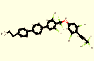 CCCc1ccc(-c2ccc(-c3cc(F)c(C(F)(F)Oc4cc(F)c(C#CC(F)(F)F)c(F)c4)c(F)c3)cc2)cc1